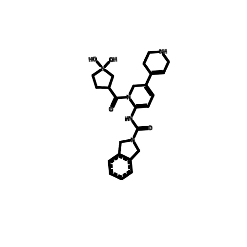 O=C(NC1=CC=C(C2=CCNCC2)CN1C(=O)C1CCS(O)(O)C1)N1Cc2ccccc2C1